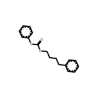 O=C(OCCCCc1ccccc1)Oc1ccccc1